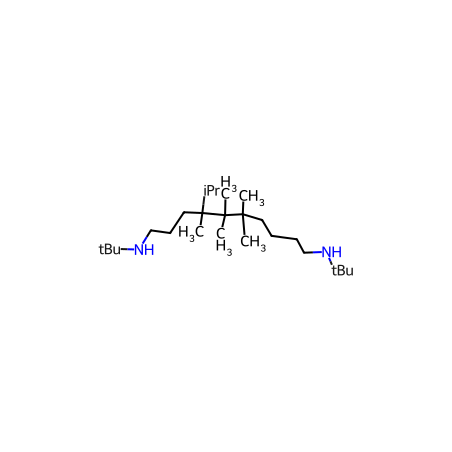 CC(C)C(C)(CCCNC(C)(C)C)C(C)(C)C(C)(C)CCCCNC(C)(C)C